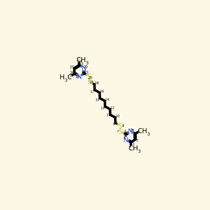 Cc1cc(C)nc(SSCCCCCCCCCCSSc2nc(C)cc(C)n2)n1